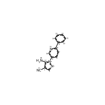 N#Cc1cnn(-c2ccc(-c3ccccc3)nc2)c1N